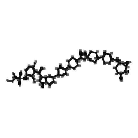 CCN(C)S(=O)(=O)Nc1ccc(F)c(C(=O)c2c[nH]c3ncc(-c4ccc(N5CCN(C(=O)CC6(O)CCN(c7ccc(NC8CCC(=O)NC9OC89)cn7)CC6)CC5)nc4)cc23)c1F